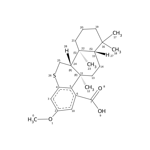 COc1cc2c(c(C(=O)O)c1)[C@]1(C)CC[C@H]3C(C)(C)CCC[C@]3(C)[C@H]1CS2